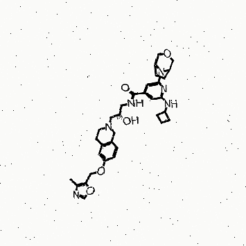 Cc1ncoc1COc1ccc2c(c1)CCN(C[C@@H](O)CNC(=O)c1cc(NC3CCC3)nc(N3C4CCC3COC4)c1)C2